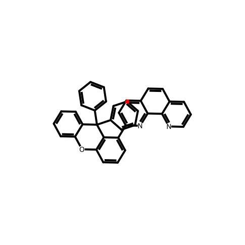 c1ccc(C2(c3ccccc3)c3ccccc3Oc3cccc(-c4ccc5ccc6cccnc6c5n4)c32)cc1